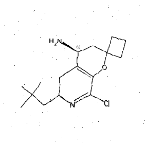 CC(C)(C)CC1CC2=C(OC3(CCC3)C[C@@H]2N)C(Cl)=N1